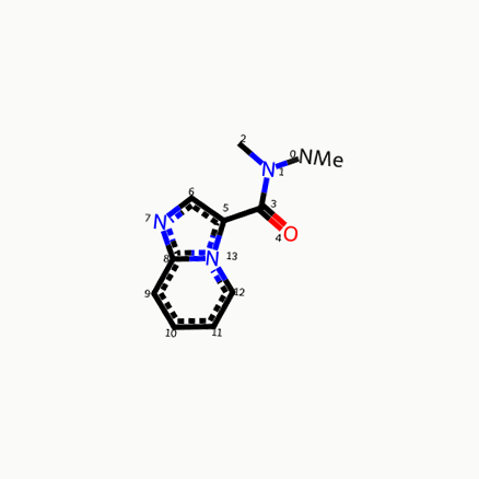 CNN(C)C(=O)c1cnc2ccccn12